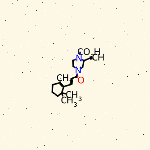 C#CC1CN(C(=O)C=CC2=C(C)CCCC2(C)C)CCN1C(=O)O